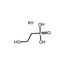 O=P(O)(O)CCO.[KH]